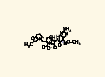 CCO/N=C(/C(=O)NC1C(=O)N2C(C(=O)[O-])=C(C[n+]3cccc4oc(C)cc43)CS[C@H]12)c1cnc(N)nc1